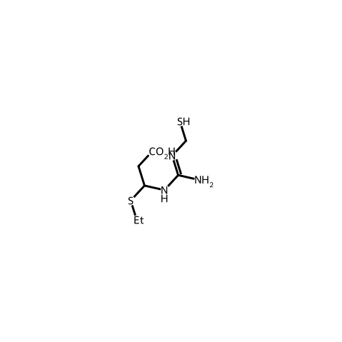 CCSC(CC(=O)O)NC(N)=NCS